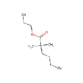 CC(C)(CCCC#N)C(=O)OCCC#N